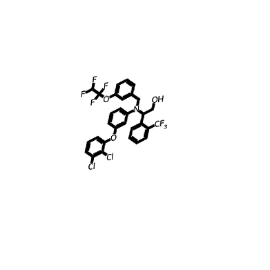 OCC(c1ccccc1C(F)(F)F)N(Cc1cccc(OC(F)(F)C(F)F)c1)c1cccc(Oc2cccc(Cl)c2Cl)c1